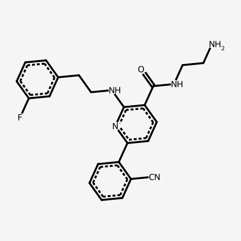 N#Cc1ccccc1-c1ccc(C(=O)NCCN)c(NCCc2cccc(F)c2)n1